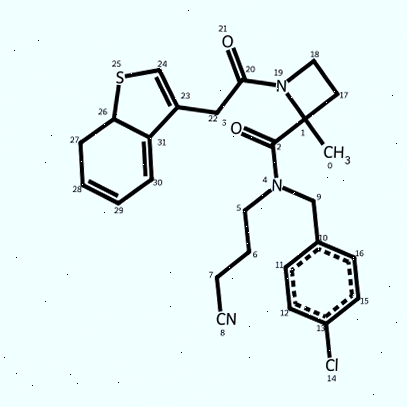 CC1(C(=O)N(CCCC#N)Cc2ccc(Cl)cc2)CCN1C(=O)CC1=CSC2CC=CC=C12